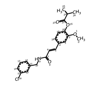 COc1cc(/C=C/C(=O)NCc2cccc(Cl)c2)ccc1OC(=O)C(C)C